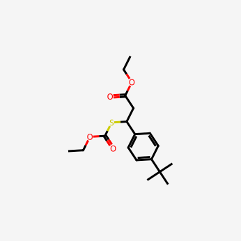 CCOC(=O)CC(SC(=O)OCC)c1ccc(C(C)(C)C)cc1